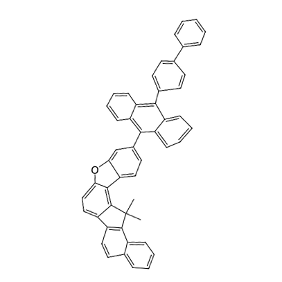 CC1(C)c2c(ccc3ccccc23)-c2ccc3oc4cc(-c5c6ccccc6c(-c6ccc(-c7ccccc7)cc6)c6ccccc56)ccc4c3c21